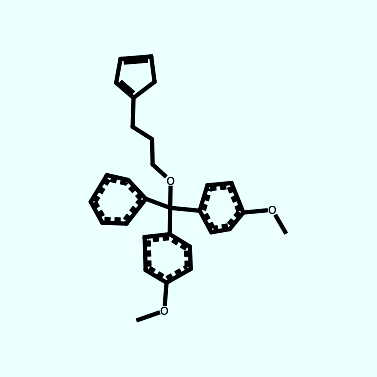 COc1ccc(C(OCCCC2=CC=CC2)(c2ccccc2)c2ccc(OC)cc2)cc1